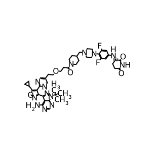 CC(C)(C)n1nc(-c2noc(C3CC3)c2-c2ncc(CCOCCC(=O)N3CCC(CN4CCN(c5c(F)cc(N[C@@H]6CCC(=O)NC6=O)cc5F)CC4)CC3)cn2)c2c(N)ncnc21